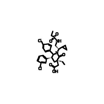 CC[C@]1(CC(=O)O)C[C@H](c2cccc(Cl)c2)C(c2ccc(Cl)cc2)N([C@H](CNS(=O)(=O)CC)C2CC2)C1=O